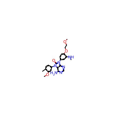 CNc1cc(-n2c(=O)n(-c3ccc(C)c(OC)c3)c3c(N)ncnc32)ccc1OCCOC